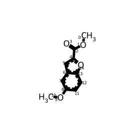 COC(=O)c1cc2cc(OC)ccc2o1